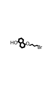 Oc1cccc2c(OCCCCBr)cccc12